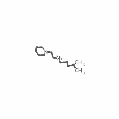 CC(C)CCCNCCN1CCCCC1